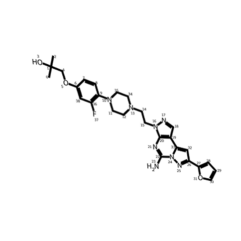 CC(C)(O)COc1ccc(N2CCN(CCn3ncc4c3nc(N)n3nc(-c5ccco5)cc43)CC2)c(F)c1